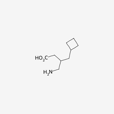 NCC(CC(=O)O)CC1CCC1